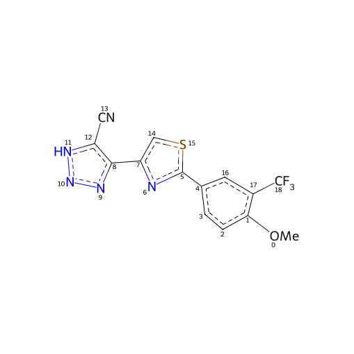 COc1ccc(-c2nc(-c3nn[nH]c3C#N)cs2)cc1C(F)(F)F